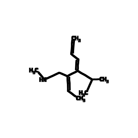 C=C/C=C(\C(=C/C)CNC)C(C)C